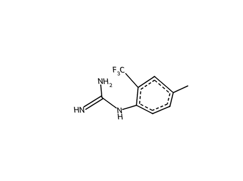 Cc1ccc(NC(=N)N)c(C(F)(F)F)c1